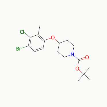 Cc1c(OC2CCN(C(=O)OC(C)(C)C)CC2)ccc(Br)c1Cl